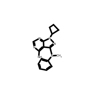 CN(c1ccccc1)c1nn(C2CCC2)c2ncnc(N)c12